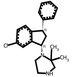 CC1(C)CNCCN1[C@H]1C[C@@H](c2ccccc2)c2ccc(Cl)cc21